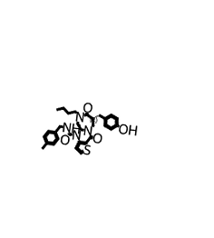 CCCCN1CC2N(C[C@@H](Cc3ccc(O)cc3)C1=O)C(=O)c1sccc1N2C(=O)NCc1ccc(C)cc1